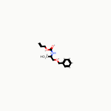 C=CCOC(=O)NC(COCc1ccccc1)C(=O)O